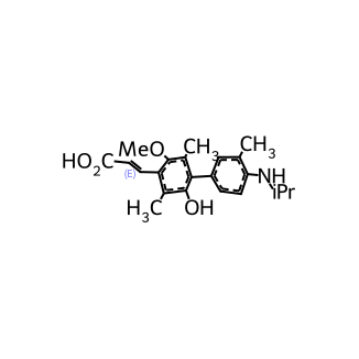 COc1c(C)c(-c2ccc(NC(C)C)c(C)c2)c(O)c(C)c1/C=C/C(=O)O